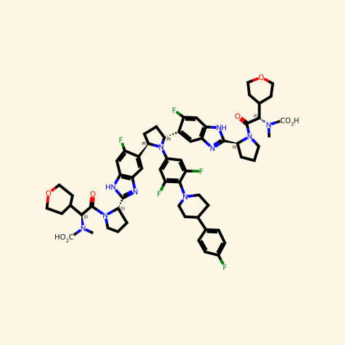 CN(C(=O)O)[C@H](C(=O)N1CCC[C@H]1c1nc2cc([C@H]3CC[C@H](c4cc5nc([C@@H]6CCCN6C(=O)[C@H](C6CCOCC6)N(C)C(=O)O)[nH]c5cc4F)N3c3cc(F)c(N4CCC(c5ccc(F)cc5)CC4)c(F)c3)c(F)cc2[nH]1)C1CCOCC1